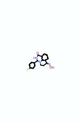 O=C1NC(c2ccc(F)cc2)N2CC/C(=N\O)c3cccc1c32